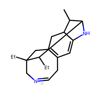 CCC1C2NC3=CC4=C(CC3C2C)CC1(CC)C/N=C\C4